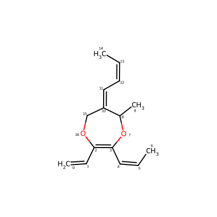 C=CC1=C(/C=C\C)OC(C)/C(=C\C=C/C)CO1